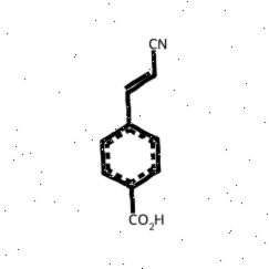 N#C/C=C/c1ccc(C(=O)O)cc1